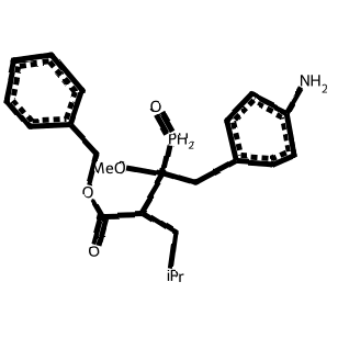 COC(Cc1ccc(N)cc1)([PH2]=O)C(CC(C)C)C(=O)OCc1ccccc1